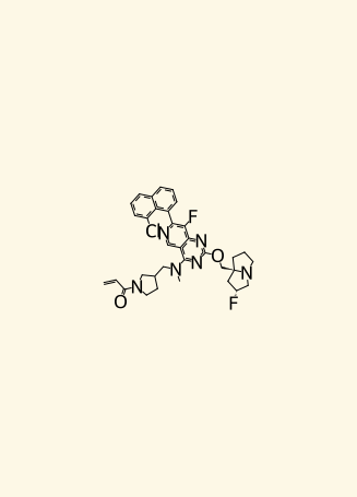 C=CC(=O)N1CCC(CN(C)c2nc(OC[C@@]34CCCN3C[C@H](F)C4)nc3c(F)c(-c4cccc5cccc(Cl)c45)ncc23)C1